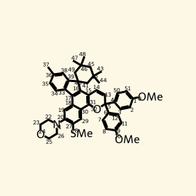 COc1ccc(C2(c3ccc(OC)cc3)C=Cc3c4c(c5cc(N6CCOCC6)c(SC)cc5c3O2)-c2ccc(C)cc2C42CC(C)(C)CC(C)(C)C2)cc1